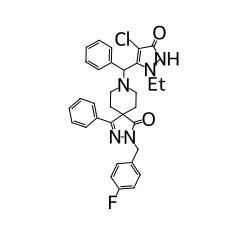 CCn1[nH]c(=O)c(Cl)c1C(c1ccccc1)N1CCC2(CC1)C(=O)N(Cc1ccc(F)cc1)N=C2c1ccccc1